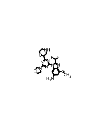 COc1cc(N)cc2c1nc(C(F)F)n2-c1nc(C2CNCCO2)nc(N2CCOC2)n1